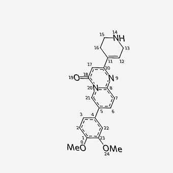 COc1ccc(-c2ccc3nc(C4=CCNCC4)cc(=O)n3c2)cc1OC